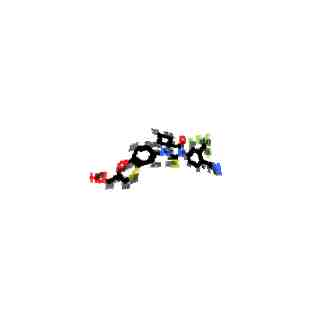 N#Cc1ccc(N2C(=O)C3(CCC3)N(c3ccc4c(c3)SCC(CO)O4)C2=S)c(F)c1C(F)(F)F